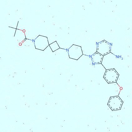 CC(C)(C)OC(=O)N1CCC2(CC1)CC(N1CCC(n3nc(-c4ccc(Oc5ccccc5)cc4)c4c(N)ncnc43)CC1)C2